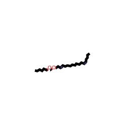 CCCC/C=C\CCCCCCCC/C=C/CCOCOCCCCCC